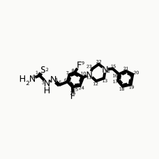 NC(=S)NN=Cc1cc(F)c(N2CCN(Cc3ccccc3)CC2)cc1F